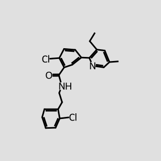 CCc1cc(C)cnc1-c1ccc(Cl)c(C(=O)NCCc2ccccc2Cl)c1